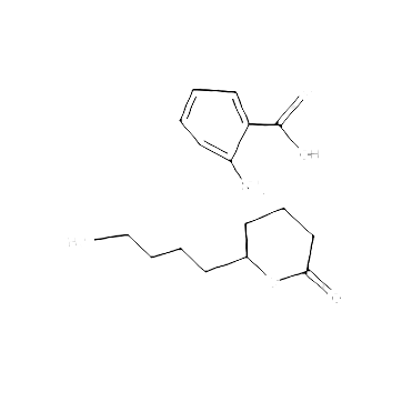 CCCCCC1CCCC(=O)O1.Nc1ccccc1C(=O)O